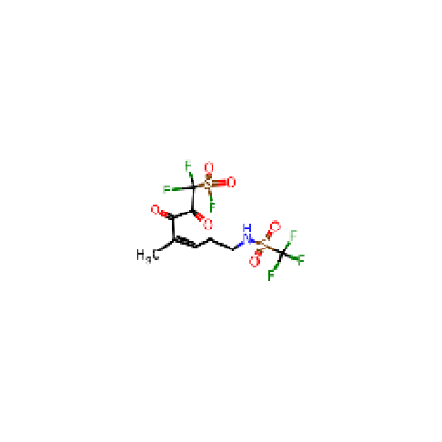 CC(=CCCNS(=O)(=O)C(F)(F)F)C(=O)C(=O)C(F)(F)S(=O)(=O)F